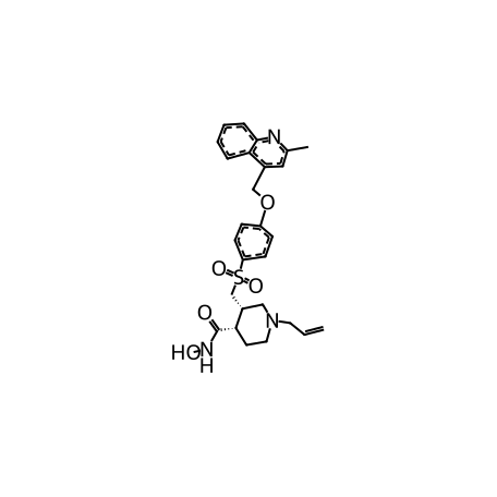 C=CCN1CC[C@H](C(=O)NO)[C@H](CS(=O)(=O)c2ccc(OCc3cc(C)nc4ccccc34)cc2)C1